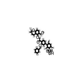 Cc1cc(C)c(S(=O)(=O)O)c(C)c1-c1ccc(C(=O)COc2c(C=O)ccc3c2C=CC(C)(C)O3)c(OCc2ccccc2)c1